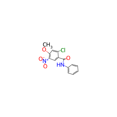 COc1cc(Cl)c(C(=O)Nc2ccccc2)cc1[N+](=O)[O-]